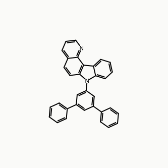 c1ccc(-c2cc(-c3ccccc3)cc(-n3c4ccccc4c4c5ncccc5ccc43)c2)cc1